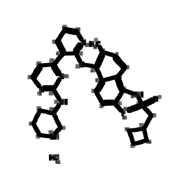 Cc1ccc2c(NS(=O)(=O)CC3CCC3)c(F)ccc2c1Oc1ncccc1-c1ccnc(NC2CCCNC2)n1.Cl